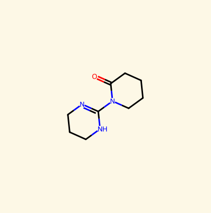 O=C1CCCCN1C1=NCCCN1